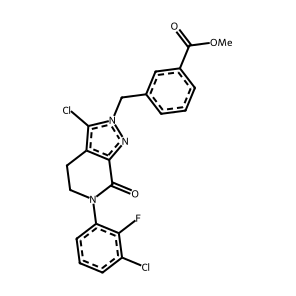 COC(=O)c1cccc(Cn2nc3c(c2Cl)CCN(c2cccc(Cl)c2F)C3=O)c1